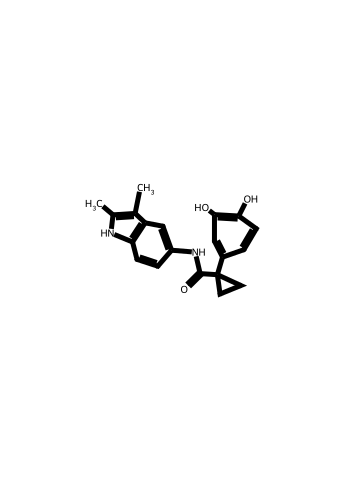 Cc1[nH]c2ccc(NC(=O)C3(c4ccc(O)c(O)c4)CC3)cc2c1C